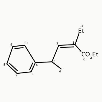 CCOC(=O)/C(=C\C(C)c1ccccc1)CC